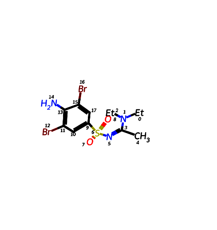 CCN(CC)C(C)=NS(=O)(=O)c1cc(Br)c(N)c(Br)c1